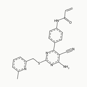 C=CC(=O)Nc1ccc(-c2nc(SCc3cccc(C)n3)nc(N)c2C#N)cc1